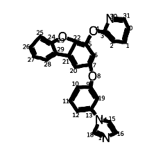 c1ccc(Oc2cc(Oc3cccc(-n4ccnc4)c3)cc3c2oc2ccccc23)nc1